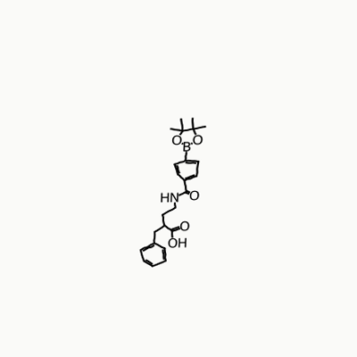 CC1(C)OB(c2ccc(C(=O)NCCC(Cc3ccccc3)C(=O)O)cc2)OC1(C)C